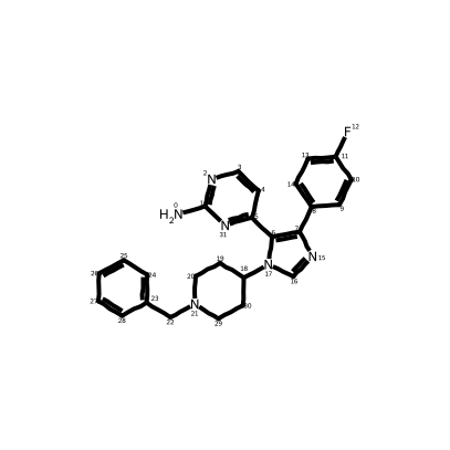 Nc1nccc(-c2c(-c3ccc(F)cc3)ncn2C2CCN(Cc3ccccc3)CC2)n1